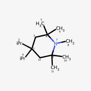 CC(C)C1(C(C)C)CC(C)(C)N(C)C(C)(C)C1